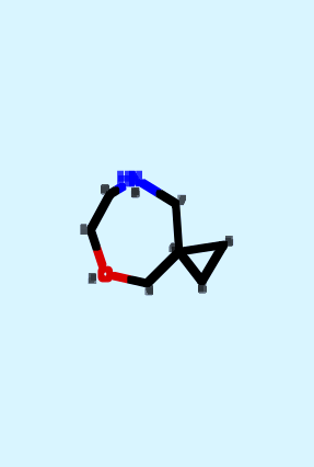 C1COCC2(CC2)CN1